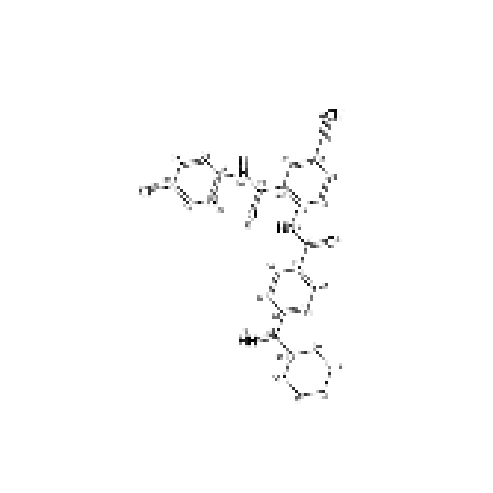 C#Cc1ccc(NC(=O)c2ccc(C(=N)N3CCCCC3)cc2)c(C(=O)Nc2ccc(Cl)cn2)c1